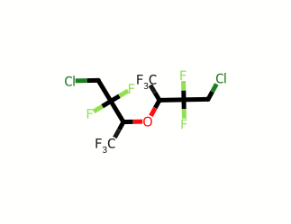 FC(F)(F)C(OC(C(F)(F)F)C(F)(F)CCl)C(F)(F)CCl